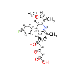 COCc1c(C(C)C)nc(C(C)C)c(/C=C/C(O)CC(=O)CC(=O)O)c1-c1ccc(F)cc1